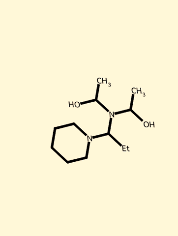 CCC(N1CCCCC1)N(C(C)O)C(C)O